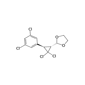 Clc1cc(Cl)cc([C@H]2[C@H](C3OCCO3)C2(Cl)Cl)c1